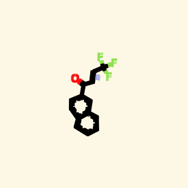 O=C(/C=C/C(F)(F)F)c1ccc2ccccc2c1